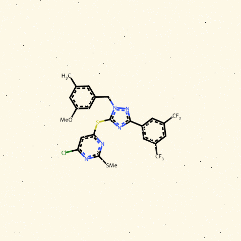 COc1cc(C)cc(Cn2nc(-c3cc(C(F)(F)F)cc(C(F)(F)F)c3)nc2Sc2cc(Cl)nc(SC)n2)c1